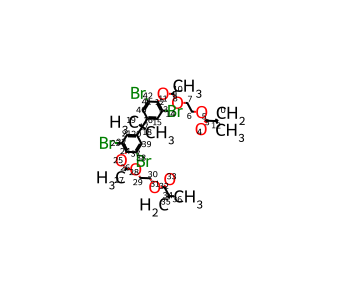 C=C(C)C(=O)OCCOC(C)Oc1c(Br)cc(C(C)(C)c2cc(Br)c(OC(C)OCCOC(=O)C(=C)C)c(Br)c2)cc1Br